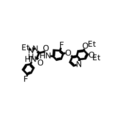 CCN/N=C(\C(=O)Nc1ccc(F)cc1)C(=O)Nc1ccc(Oc2ccnc3cc(OCC)c(OCC)cc23)c(F)c1